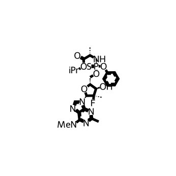 CNc1nc(C)nc2c1ncn2[C@@H]1O[C@H](CO[P@@](=S)(N[C@@H](C)C(=O)OC(C)C)Oc2ccccc2)[C@@H](O)[C@@]1(C)F